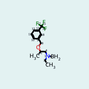 BN(CC)CC(C)OCc1cccc(C(F)(F)F)c1